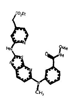 CCOC(=O)Cc1ccnc(Nc2nc3ccc(N(C)c4cccc(C(=O)NOC)c4)nc3s2)c1